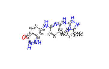 CSc1n[nH]c(Nc2nc(Nc3ccc4c(=O)[nH][nH]c4c3)ccc2[N+](=O)[O-])n1